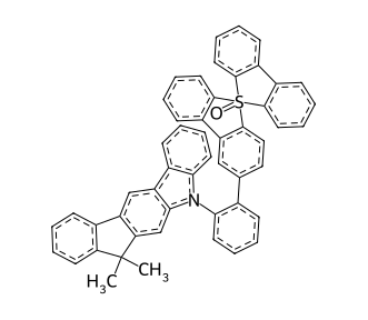 CC1(C)c2ccccc2-c2cc3c4ccccc4n(-c4ccccc4-c4ccc5c(c4)-c4ccccc4S54(=O)c5ccccc5-c5ccccc54)c3cc21